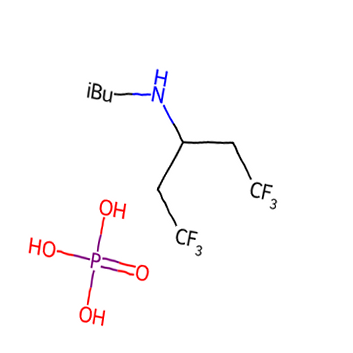 CCC(C)NC(CC(F)(F)F)CC(F)(F)F.O=P(O)(O)O